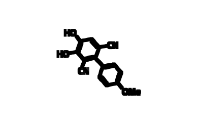 COc1ccc(-c2c(C#N)cc(O)c(O)c2C#N)cc1